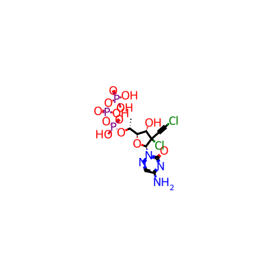 C[C@@H](OP(=O)(O)OP(=O)(O)OP(=O)(O)O)[C@H]1O[C@@H](n2ncc(N)nc2=O)C(Cl)(C#CCl)[C@H]1O